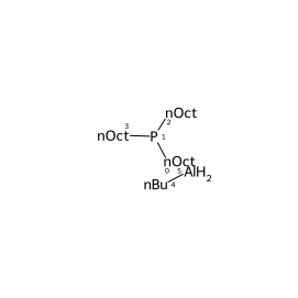 CCCCCCCCP(CCCCCCCC)CCCCCCCC.CCC[CH2][AlH2]